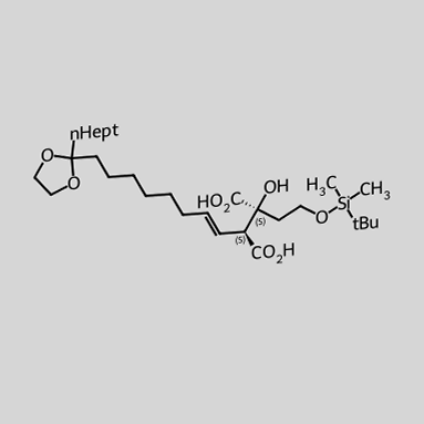 CCCCCCCC1(CCCCCCC=C[C@H](C(=O)O)[C@@](O)(CCO[Si](C)(C)C(C)(C)C)C(=O)O)OCCO1